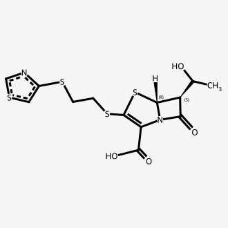 CC(O)[C@H]1C(=O)N2C(C(=O)O)=C(SCCSc3cscn3)S[C@H]12